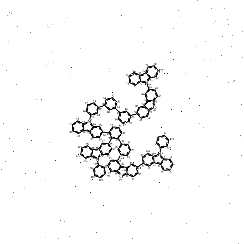 c1ccc(-n2c3ccccc3c3cc(-c4ccc5oc6cccc(-c7cccc(-c8cccc(-c9ccc%10c%11ccccc%11n(-c%11cccc(-c%12cccc(-c%13cccc(-c%14ccc%15oc%16ccc(-n%17c%18ccccc%18c%18ccncc%18%17)cc%16c%15c%14)c%13)c%12)c%11)c%10c9)c8-c8ccc9c(c8)c8ccccc8n9-c8ccccc8)c7)c6c5c4)ccc32)cc1